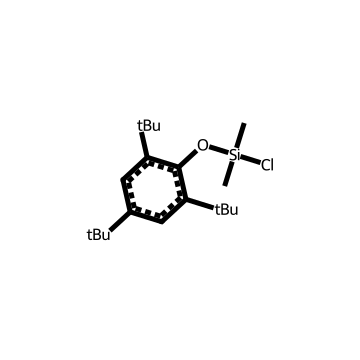 CC(C)(C)c1cc(C(C)(C)C)c(O[Si](C)(C)Cl)c(C(C)(C)C)c1